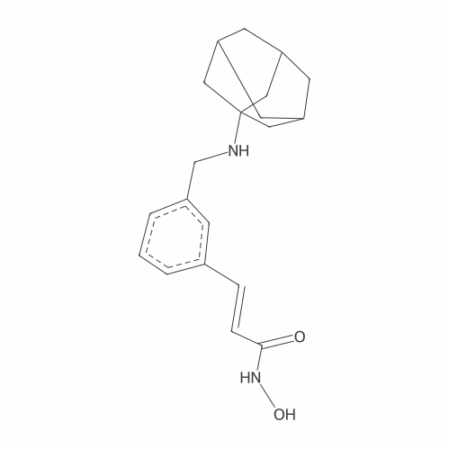 O=C(/C=C/c1cccc(CNC23CC4CC(CC(C4)C2)C3)c1)NO